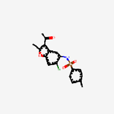 CC(=O)c1c(C)oc2cc(Cl)c(NS(=O)(=O)c3ccc(C)cc3)cc12